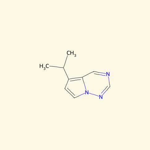 CC(C)c1ccn2ncncc12